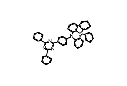 c1ccc(-c2nc(-c3ccccc3)nc(-c3ccc(N4c5ccccc5S(c5ccccc5)(c5ccccc5)c5ccccc54)cc3)n2)cc1